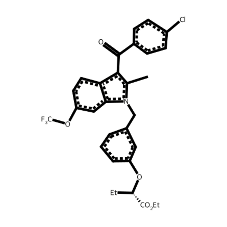 CCOC(=O)[C@H](CC)Oc1cccc(Cn2c(C)c(C(=O)c3ccc(Cl)cc3)c3ccc(OC(F)(F)F)cc32)c1